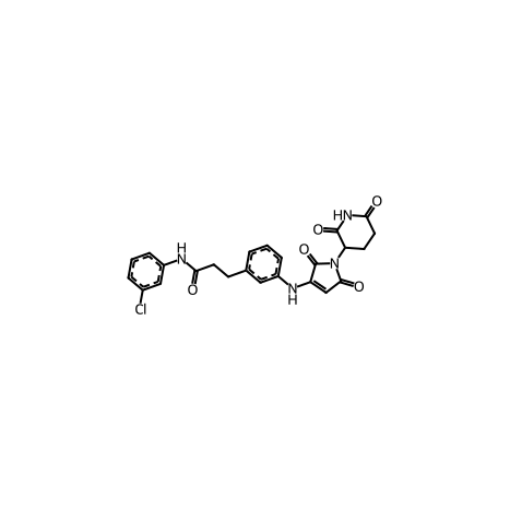 O=C1CCC(N2C(=O)C=C(Nc3cccc(CCC(=O)Nc4cccc(Cl)c4)c3)C2=O)C(=O)N1